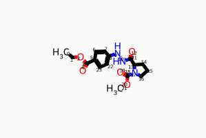 CCOC(=O)c1ccc(NNC(=O)C2CCCN2C(=O)OC)cc1